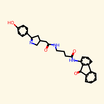 O=C(CC1CN=C(c2ccc(O)cc2)C1)NCCCC(=O)Nc1cccc2c1C(=O)c1ccccc1-2